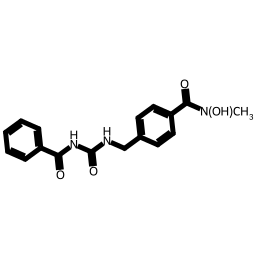 CN(O)C(=O)c1ccc(CNC(=O)NC(=O)c2ccccc2)cc1